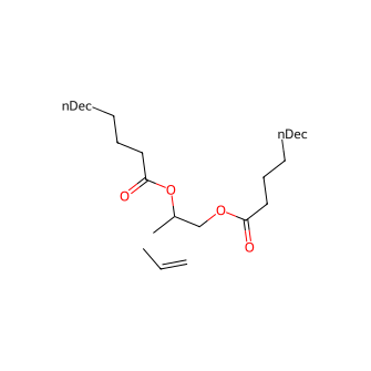 C=CC.CCCCCCCCCCCCCC(=O)OCC(C)OC(=O)CCCCCCCCCCCCC